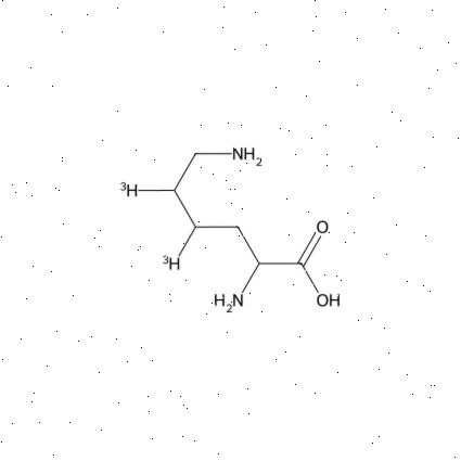 [3H]C(CN)C([3H])CC(N)C(=O)O